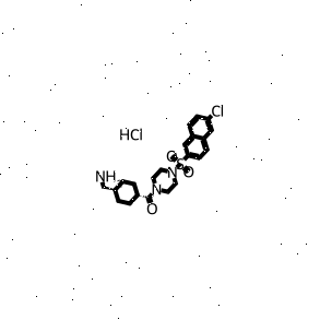 Cl.NC[C@H]1CC[C@H](C(=O)N2CCN(S(=O)(=O)c3ccc4cc(Cl)ccc4c3)CC2)CC1